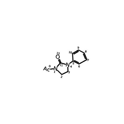 CC(=O)N1CCN(c2ccccc2)C1=O